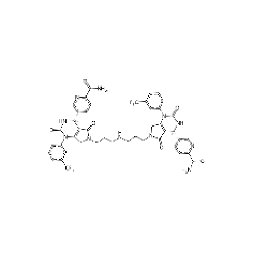 NC(=O)c1ccc([C@H]2NC(=O)N(c3cccc(C(F)(F)F)c3)C3=C2C(=O)N(CCCNCCCN2CC4=C(C2=O)[C@@H](c2ccc(C(N)=O)nc2)NC(=O)N4c2cccc(C(F)(F)F)c2)C3)cn1